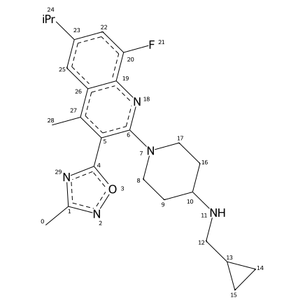 Cc1noc(-c2c(N3CCC(NCC4CC4)CC3)nc3c(F)cc(C(C)C)cc3c2C)n1